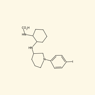 O=C(O)NC1CCCCC1NC1CCCN(c2ccc(I)cc2)C1